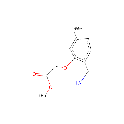 COc1ccc(CN)c(OCC(=O)OC(C)(C)C)c1